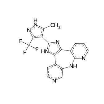 Cc1[nH]nc(C(F)(F)F)c1-c1nc2c([nH]1)-c1ccncc1Nc1ncccc1-2